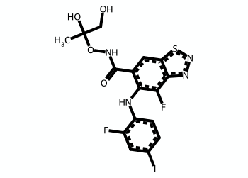 CC(O)(CO)ONC(=O)c1cc2snnc2c(F)c1Nc1ccc(I)cc1F